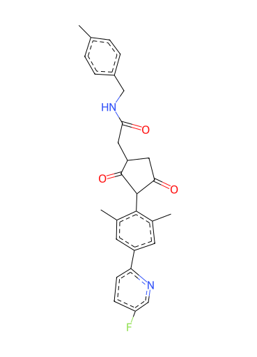 Cc1ccc(CNC(=O)CC2CC(=O)C(c3c(C)cc(-c4ccc(F)cn4)cc3C)C2=O)cc1